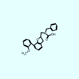 COc1ccccc1-c1cccc2c1OC(CN(Cc1ccccc1)C(=O)O)C2